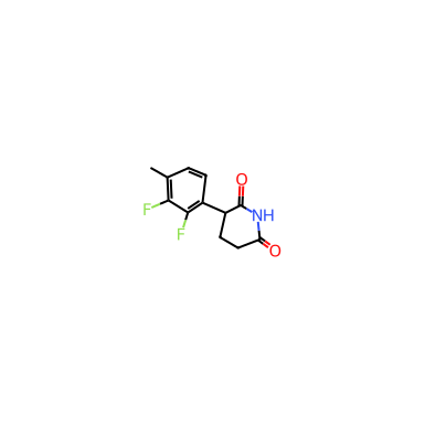 Cc1ccc(C2CCC(=O)NC2=O)c(F)c1F